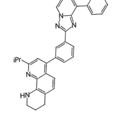 CC(C)c1cc(-c2cccc(-c3nc4c(-c5ccccc5)cccn4n3)c2)c2ccc3c(c2n1)NCCC3